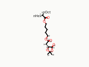 CCCCCCCCC(CCCCCC)C(=O)OCCCCCOC(=O)C[C@@H]1OC(C)(C)OC1=O